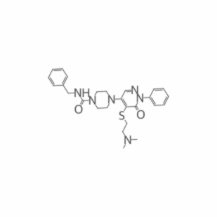 CN(C)CCSc1c(N2CCN(C(=O)NCc3ccccc3)CC2)cnn(-c2ccccc2)c1=O